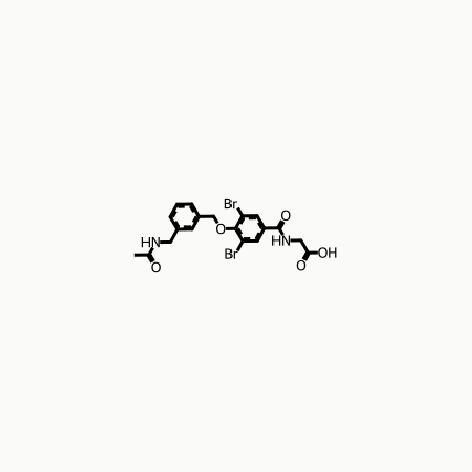 CC(=O)NCc1cccc(COc2c(Br)cc(C(=O)NCC(=O)O)cc2Br)c1